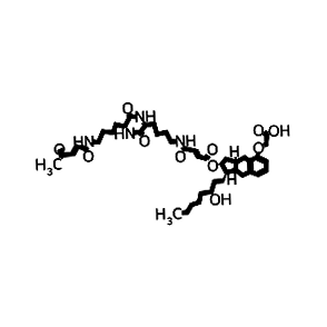 CCCCC[C@H](O)CC[C@@H]1[C@H]2Cc3cccc(OCC(=O)O)c3C[C@H]2C[C@H]1OC(=O)/C=C/C(=O)NCCCCC1NC(=O)C(CCCCNC(=O)/C=C/C(C)=O)NC1=O